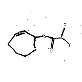 O=C(SC1C=CCCCC1)C(F)F